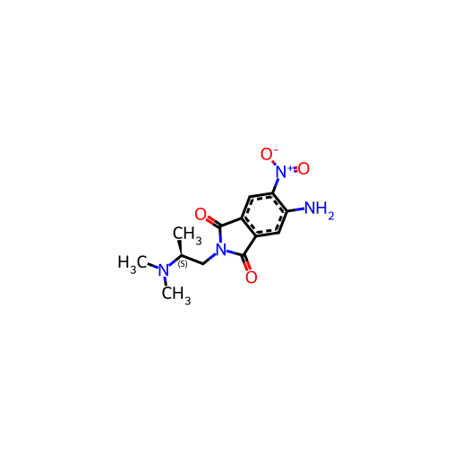 C[C@@H](CN1C(=O)c2cc(N)c([N+](=O)[O-])cc2C1=O)N(C)C